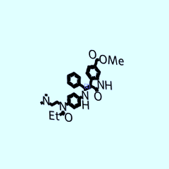 CCC(=O)N(CCN(C)C)c1ccc(N/C(=C2\C(=O)Nc3cc(C(=O)OC)ccc32)c2ccccc2)cc1